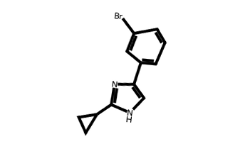 Brc1cccc(-c2c[nH]c(C3CC3)n2)c1